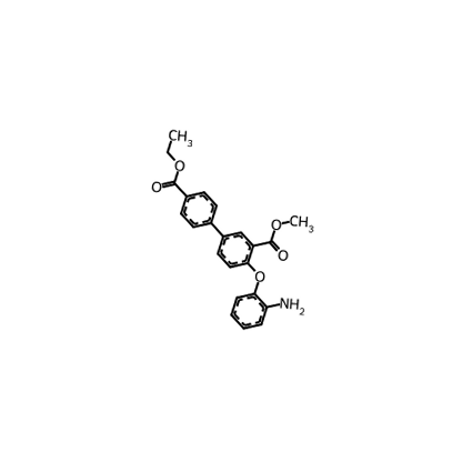 CCOC(=O)c1ccc(-c2ccc(Oc3ccccc3N)c(C(=O)OC)c2)cc1